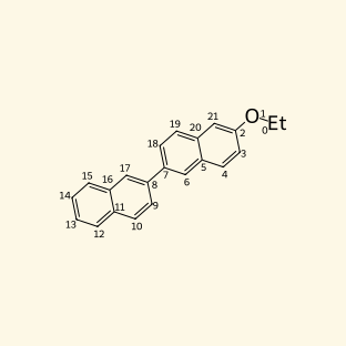 CCOc1ccc2cc(-c3ccc4ccccc4c3)ccc2c1